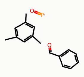 Cc1cc(C)cc(C)c1.O=Cc1ccccc1.O=[P]